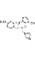 COc1ccc(CCC(Cn2ccnc2)Oc2c(C)cccc2C)cc1